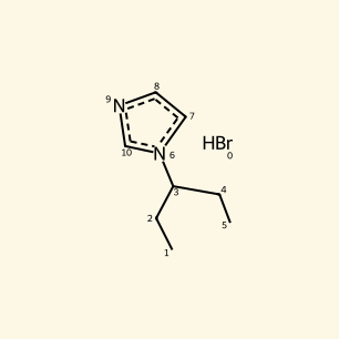 Br.CCC(CC)n1ccnc1